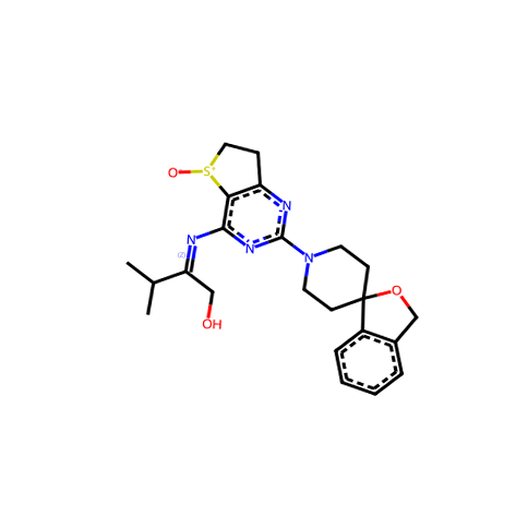 CC(C)/C(CO)=N/c1nc(N2CCC3(CC2)OCc2ccccc23)nc2c1[S+]([O-])CC2